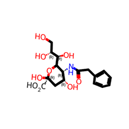 O=C(Cc1ccccc1)N[C@H]1C([C@H](O)[C@H](O)CO)O[C@@](O)(C(=O)O)C[C@H]1O